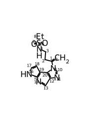 C=C(CCNS(=O)(=O)CC)n1cnc2cnc3[nH]ccc3c21